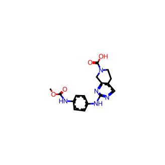 COC(=O)Nc1ccc(Nc2ncc3c(n2)CN(C(=O)O)CC3)cc1